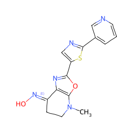 CN1CC/C(=N\O)c2nc(-c3cnc(-c4cccnc4)s3)oc21